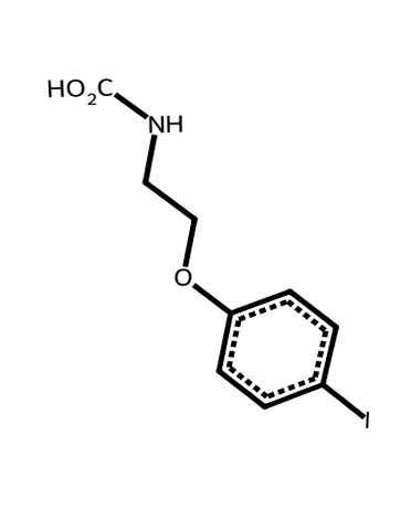 O=C(O)NCCOc1ccc(I)cc1